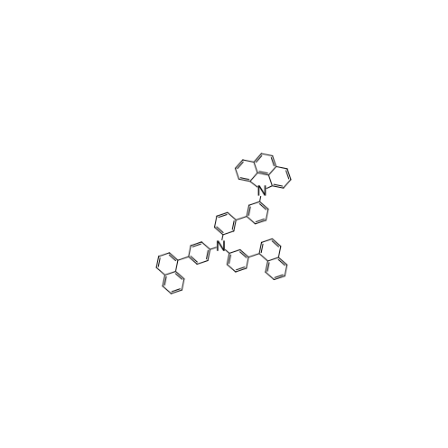 c1cc(-c2cccc(-n3c4cccc5ccc6cccc3c6c54)c2)cc(N(c2ccc(-c3cccc4ccccc34)cc2)c2cccc(-c3cccc4ccccc34)c2)c1